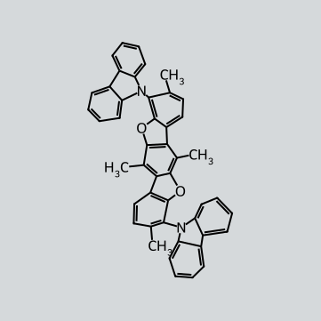 Cc1ccc2c(oc3c(C)c4c(oc5c(-n6c7ccccc7c7ccccc76)c(C)ccc54)c(C)c32)c1-n1c2ccccc2c2ccccc21